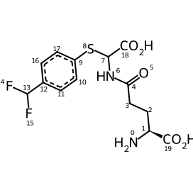 N[C@@H](CCC(=O)NC(Sc1ccc(C(F)F)cc1)C(=O)O)C(=O)O